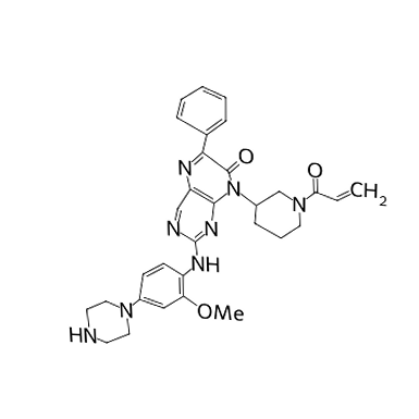 C=CC(=O)N1CCCC(n2c(=O)c(-c3ccccc3)nc3cnc(Nc4ccc(N5CCNCC5)cc4OC)nc32)C1